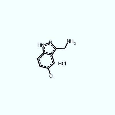 Cl.NCc1n[nH]c2ccc(Cl)cc12